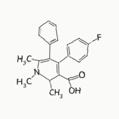 CC1=C(c2ccccc2)C(c2ccc(F)cc2)=C(C(=O)O)C(C)N1C